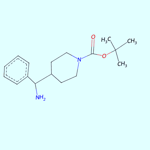 CC(C)(C)OC(=O)N1CCC(C(N)c2ccccc2)CC1